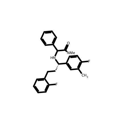 CNC(=O)C(N[C@@H](CCc1ccccc1F)c1ccc(F)c(C)c1)c1ccccc1